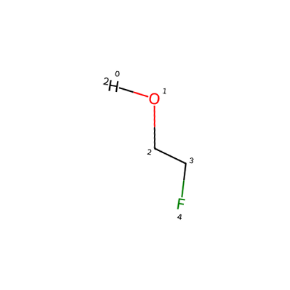 [2H]OCCF